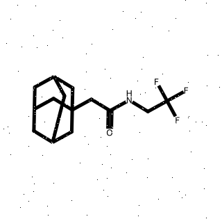 O=C(CC12CC3CC(CC(C3)C1)C2)NCC(F)(F)F